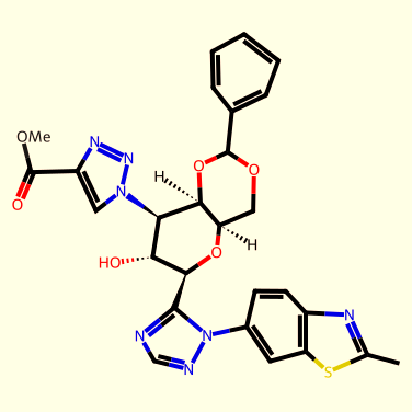 COC(=O)c1cn([C@@H]2[C@@H](O)[C@H](c3ncnn3-c3ccc4nc(C)sc4c3)O[C@@H]3COC(c4ccccc4)O[C@H]23)nn1